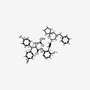 O=C(O)NC(C(=O)Nc1cncc(F)c1C#C[C@@H]1CN(Cc2ccccc2)CC2(CCCC2)O1)C(c1ccc(F)cc1)c1ccc(F)cc1